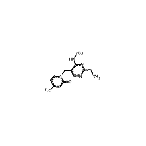 CCCCNc1nc(CN)ncc1Cn1ccc(C(F)(F)F)cc1=O